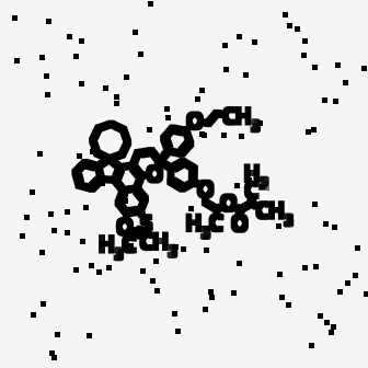 C=C(C)C(=O)OC(C)COc1ccc(C2(c3ccc(OCCC)cc3)C=Cc3c4c(c5cc6c(cc5c3O2)SC(C)(C)O6)-c2ccccc2C42CCCCCCC2)cc1